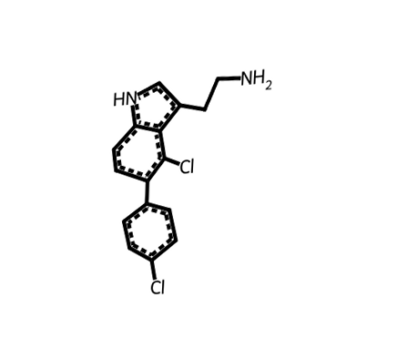 NCCc1c[nH]c2ccc(-c3ccc(Cl)cc3)c(Cl)c12